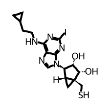 O[C@H]1[C@H](n2cnc3c(NCCC4CC4)nc(I)nc32)[C@H]2C[C@@]2(CS)[C@H]1O